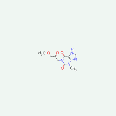 COCC(=O)Cn1c(=O)c2[nH]cnc2n(C)c1=O